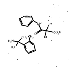 CCC(CC)(C(=O)O)C(=O)Nc1ccccc1.Cc1ccccc1C(C)(C)N